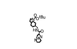 CC(C)(C)OC(=O)n1ccc2ccc(CNC(=O)c3cn4ncccc4n3)cc21